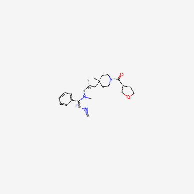 C=N/C=C(/c1ccccc1)N(C)C[C@H](C)CC1(C)CCN(C(=O)C2CCOC2)CC1